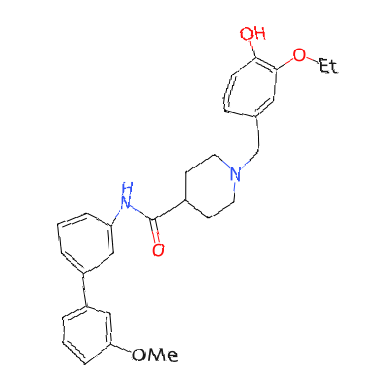 CCOc1cc(CN2CCC(C(=O)Nc3cccc(-c4cccc(OC)c4)c3)CC2)ccc1O